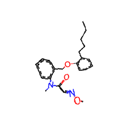 CCCCCc1ccccc1OCc1ccccc1N(C)C(=O)C=NOC